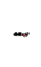 CC(COc1ccc(-c2ccccc2)cc1)OS(=O)O